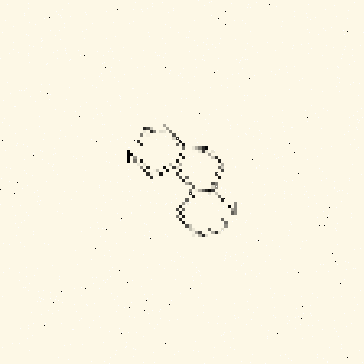 [c]1ccc2c(ccc3ccncc32)n1